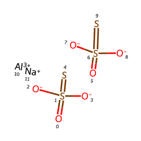 O=S([O-])([O-])=S.O=S([O-])([O-])=S.[Al+3].[Na+]